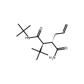 C=CC[C@H](C(N)=O)[C@H](C(=O)NC(C)(C)C)C(C)(C)C